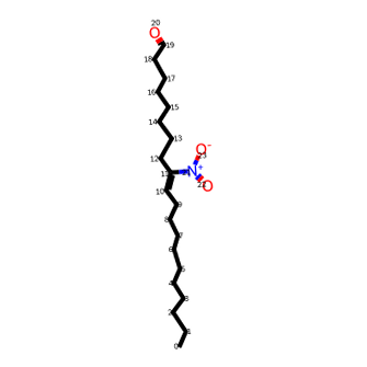 CCCCCCCCCC/C=C(/CCCCCCCC=O)[N+](=O)[O-]